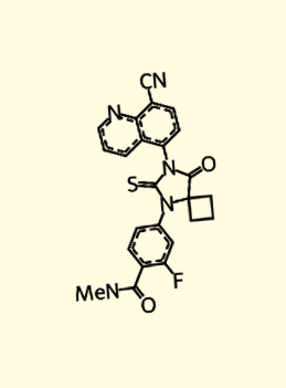 CNC(=O)c1ccc(N2C(=S)N(c3ccc(C#N)c4ncccc34)C(=O)C23CCC3)cc1F